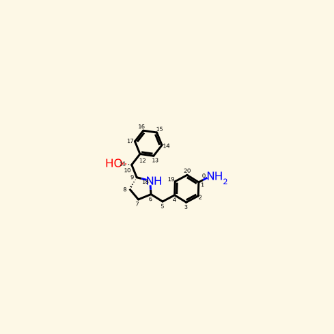 Nc1ccc(CC2CC[C@H]([C@H](O)c3ccccc3)N2)cc1